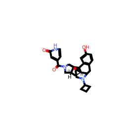 O=C(c1cc[nH]c(=O)c1)N1C[C@H]2C[C@@]34CCC1C2C31CCN(C2CCC2)C4Cc2ccc(O)cc21